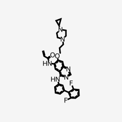 C=CC(=O)Nc1cc2c(Nc3cccc(-c4c(F)cccc4F)c3)ncnc2cc1OCCCN1CCN(C2CC2)CC1